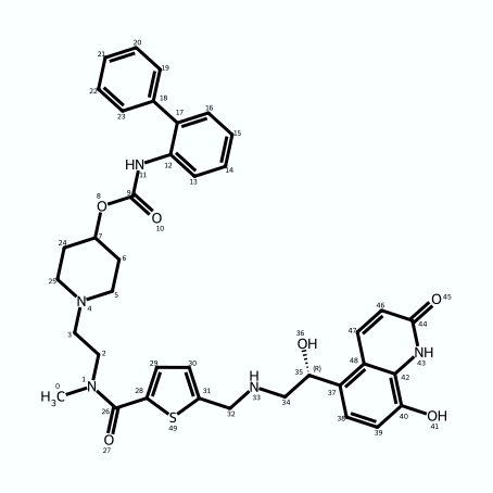 CN(CCN1CCC(OC(=O)Nc2ccccc2-c2ccccc2)CC1)C(=O)c1ccc(CNC[C@H](O)c2ccc(O)c3[nH]c(=O)ccc23)s1